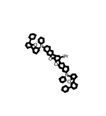 CC(C)c1cc2c3cc4ccc(N(c5ccccc5)c5cccc6c5oc5c(-c7ccccc7)cccc56)cc4cc3oc2c2oc3cc4cc(N(c5ccccc5)c5cccc6c5oc5c(-c7ccccc7)cccc56)ccc4cc3c12